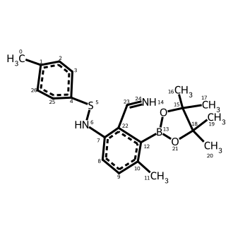 Cc1ccc(SNc2ccc(C)c(B3OC(C)(C)C(C)(C)O3)c2C=N)cc1